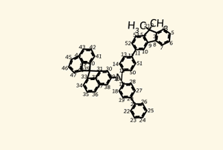 CC1(C)c2ccccc2-c2cc(-c3ccc(N(c4ccc(-c5ccccc5)cc4)c4cc5c6c(cccc6c4)C54c5cccc6cccc4c56)cc3)ccc21